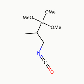 CO[Si](OC)(OC)C(C)CN=C=O